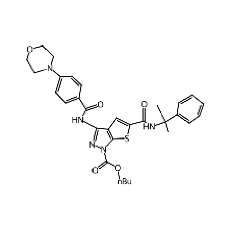 CCCCOC(=O)n1nc(NC(=O)c2ccc(N3CCOCC3)cc2)c2cc(C(=O)NC(C)(C)c3ccccc3)sc21